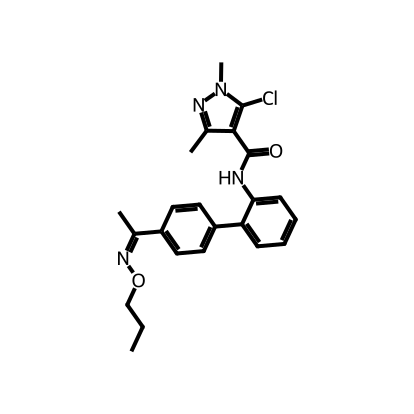 CCCO/N=C(/C)c1ccc(-c2ccccc2NC(=O)c2c(C)nn(C)c2Cl)cc1